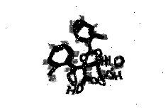 Cc1ccccc1C(=O)OC(C(=O)O)(C(=O)c1ccccc1C)C(O)C(=O)O.O